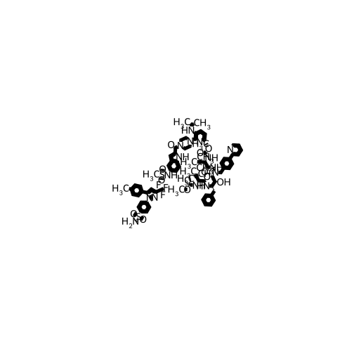 CC(C)Nc1cccnc1N1CCN(C(=O)c2cc3cc(NS(C)(=O)=O)ccc3[nH]2)CC1.COC(=O)N[C@H](C(=O)N[C@@H](Cc1ccccc1)[C@@H](O)CN(Cc1ccc(-c2ccccn2)cc1)NC(=O)[C@@H](NC(=O)OC)C(C)(C)C)C(C)(C)C.Cc1ccc(-c2cc(C(F)(F)F)nn2-c2ccc(S(N)(=O)=O)cc2)cc1